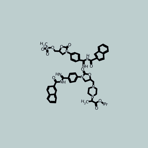 CC(C)OC(=O)C(C)N1CCN(CC2CN(c3ccc(C(=N)NC(=O)c4ccc5ccccc5c4)cc3)C(=O)O2)CC1.CS(=O)(=O)OCC1CN(c2ccc(C(=N)NC(=O)c3ccc4ccccc4c3)cc2)C(=O)O1